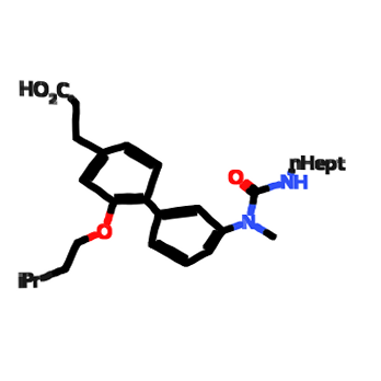 CCCCCCCNC(=O)N(C)c1cccc(-c2ccc(CCC(=O)O)cc2OCCC(C)C)c1